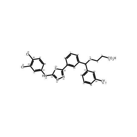 O=C(O)CCSC(c1cccc(-c2nnc(Nc3ccc(Cl)c(Cl)c3)s2)c1)c1cccc(C(F)(F)F)c1